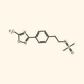 CS(C)(=O)=NCCc1ccc(-c2noc(C(F)(F)F)n2)cc1